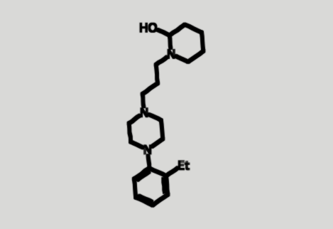 CCc1ccccc1N1CCN(CCCN2CCCCC2O)CC1